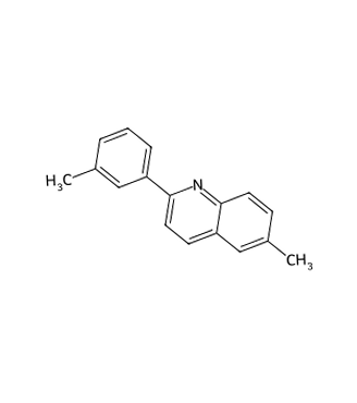 Cc1cccc(-c2ccc3cc(C)ccc3n2)c1